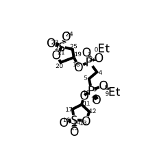 CCOP(=O)(CCP(=O)(OCC)OC1COS(=O)(=O)C1)OC1COS(=O)(=O)C1